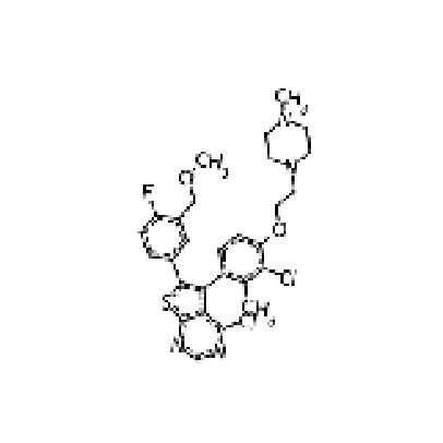 COCc1cc(-c2sc3ncnc(Cl)c3c2-c2ccc(OCCN3CCN(C)CC3)c(Cl)c2C)ccc1F